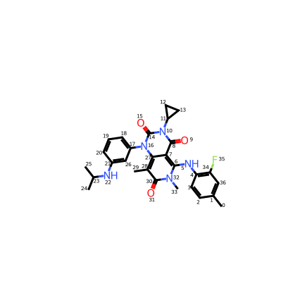 Cc1ccc(Nc2c3c(=O)n(C4CC4)c(=O)n(-c4cccc(NC(C)C)c4)c3c(C)c(=O)n2C)c(F)c1